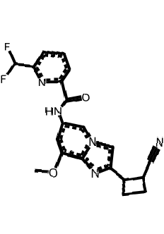 COc1cc(NC(=O)c2cccc(C(F)F)n2)cn2cc(C3CCC3C#N)nc12